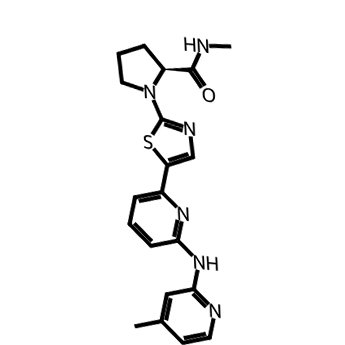 CNC(=O)[C@@H]1CCCN1c1ncc(-c2cccc(Nc3cc(C)ccn3)n2)s1